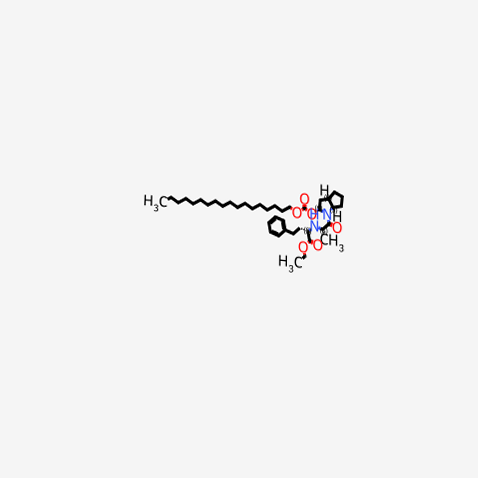 CCCCCCCCCCCCCCCCCCOC(=O)O[C@H]1C[C@@H]2CCC[C@@H]2N1C(=O)[C@H](C)N[C@@H](CCc1ccccc1)C(=O)OCC